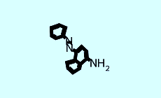 Nc1ccc(/N=N/c2ccccc2)c2ccccc12